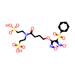 O=C(CCCOc1no[n+]([O-])c1S(=O)(=O)c1ccccc1)N(CCS(=O)(=O)O)CCS(=O)(=O)O